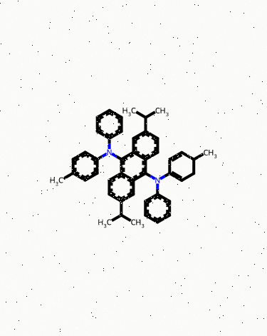 Cc1ccc(N(c2ccccc2)c2c3ccc(C(C)C)cc3c(N(C3=CCC(C)C=C3)c3ccccc3)c3ccc(C(C)C)cc23)cc1